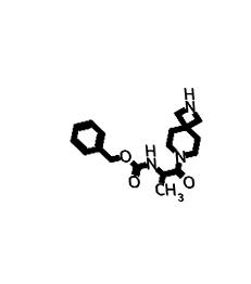 CC(NC(=O)OCc1ccccc1)C(=O)N1CCC2(CC1)CNC2